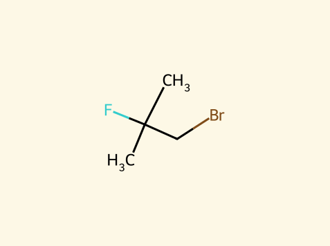 CC(C)(F)CBr